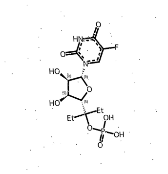 CCC(CC)(OP(=O)(O)O)[C@H]1O[C@@H](n2cc(F)c(=O)[nH]c2=O)[C@H](O)[C@@H]1O